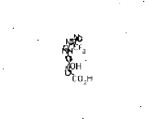 O=C(O)CC1CCCN(CC(O)c2ccc(-c3noc(-c4ncn(-c5ccccn5)c4C(F)(F)F)n3)cc2)C1